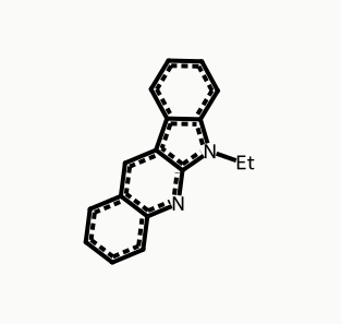 CCn1c2ccccc2c2cc3ccccc3nc21